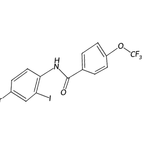 O=C(Nc1ccc(Br)cc1I)c1ccc(OC(F)(F)F)cc1